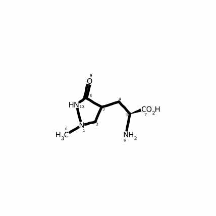 CN1CC(C[C@H](N)C(=O)O)C(=O)N1